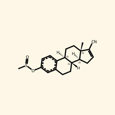 CS(=O)Oc1ccc2c(c1)CC[C@@H]1[C@@H]2CC[C@]2(C)C(C#N)=CC[C@@H]12